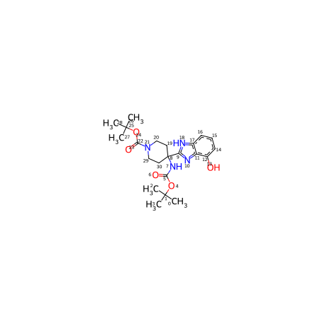 CC(C)(C)OC(=O)NC1(c2nc3c(O)cccc3[nH]2)CCN(C(=O)OC(C)(C)C)CC1